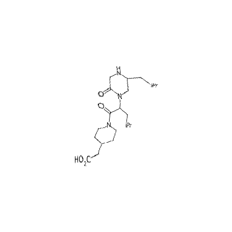 CC(C)CC1CN(C(CC(C)C)C(=O)N2CCC(CC(=O)O)CC2)C(=O)CN1